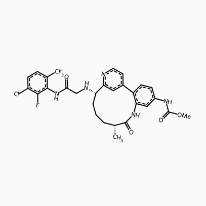 COC(=O)Nc1ccc2c(c1)NC(=O)[C@H](C)CCC[C@H](NCC(=O)Nc1c(C(F)(F)F)ccc(Cl)c1F)c1cc-2ccn1